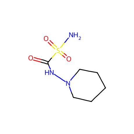 NS(=O)(=O)C(=O)NN1CCCCC1